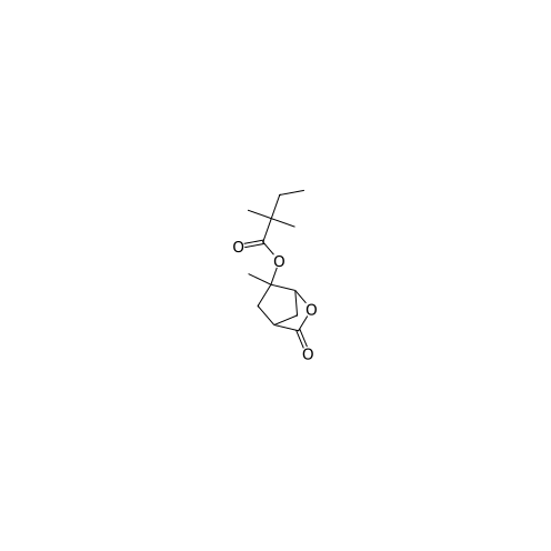 CCC(C)(C)C(=O)OC1(C)CC2CC1OC2=O